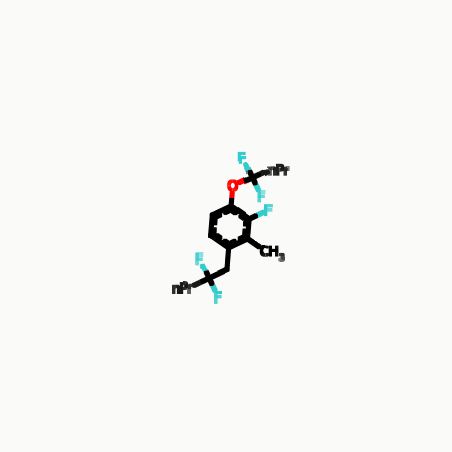 CCCC(F)(F)Cc1ccc(OC(F)(F)CCC)c(F)c1C